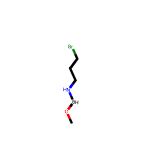 COBNCCCBr